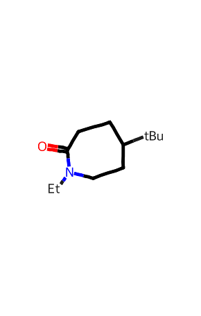 CCN1CCC(C(C)(C)C)CCC1=O